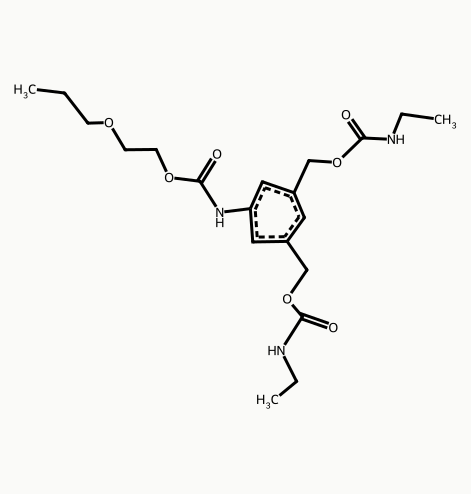 CCCOCCOC(=O)Nc1cc(COC(=O)NCC)cc(COC(=O)NCC)c1